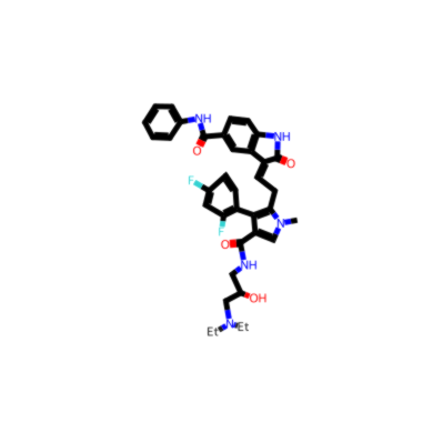 CCN(CC)CC(O)CNC(=O)c1cn(C)c(CC=C2C(=O)Nc3ccc(C(=O)Nc4ccccc4)cc32)c1-c1ccc(F)cc1F